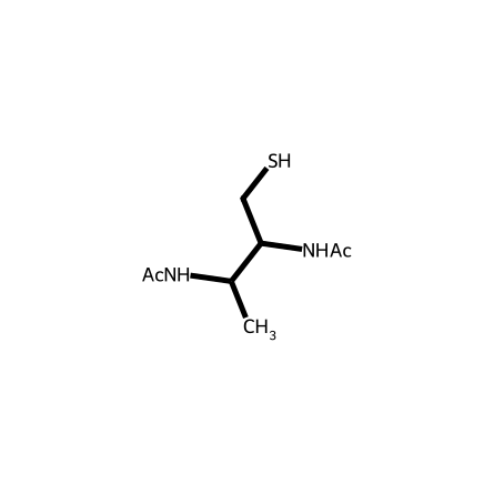 CC(=O)NC(C)C(CS)NC(C)=O